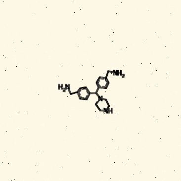 NCc1ccc(C(c2ccc(CN)cc2)N2CCNCC2)cc1